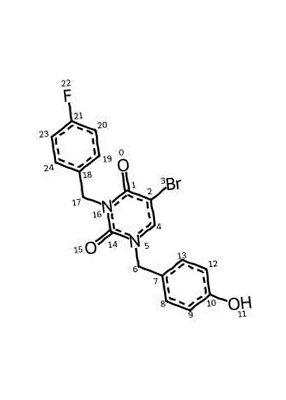 O=c1c(Br)cn(Cc2ccc(O)cc2)c(=O)n1Cc1ccc(F)cc1